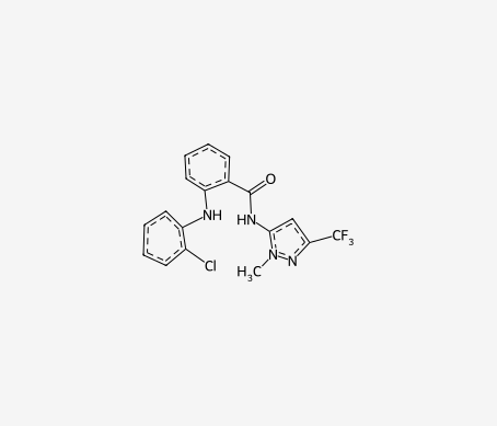 Cn1nc(C(F)(F)F)cc1NC(=O)c1ccccc1Nc1ccccc1Cl